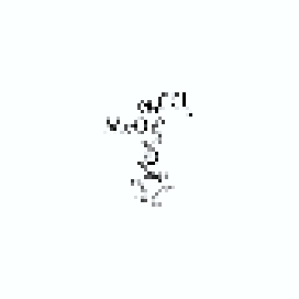 CO/C(=C\C(=O)C(Cl)(Cl)Cl)CCOCc1ccccc1